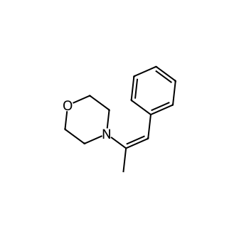 CC(=Cc1ccccc1)N1CCOCC1